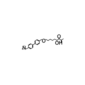 C=C(C)C(=O)C(O)CCCCCOCc1ccc(-c2ccc(CN(C)C)cc2)cc1